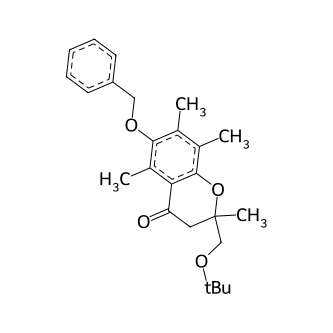 Cc1c(C)c2c(c(C)c1OCc1ccccc1)C(=O)CC(C)(COC(C)(C)C)O2